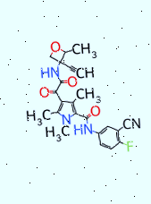 C#CC1(NC(=O)C(=O)c2c(C)c(C(=O)Nc3ccc(F)c(C#N)c3)n(C)c2C)COC1C